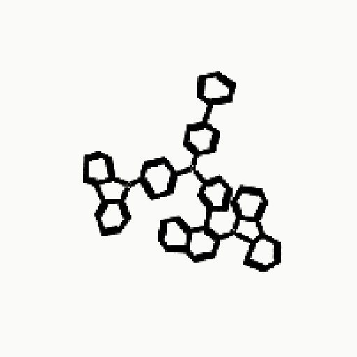 C1=CC2c3ccccc3N(c3ccc4ccccc4c3-c3cccc(N(c4ccc(-c5ccccc5)cc4)c4ccc(-n5c6ccccc6c6ccccc65)cc4)c3)C2C=C1